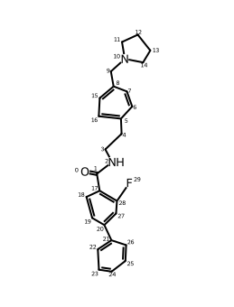 O=C(NCCc1ccc(CN2CCCC2)cc1)c1ccc(-c2ccccc2)cc1F